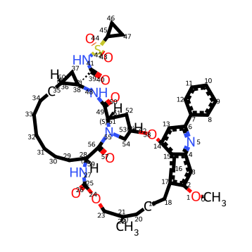 COc1cc2nc(-c3ccccc3)cc3c2cc1CCC[C@H](C)COC(=O)N[C@H]1CCCCCCC[C@@H]2C[C@@]2(C(=O)NS(=O)(=O)C2CC2)NC(=O)[C@@H]2C[C@H](CN2C1=O)O3